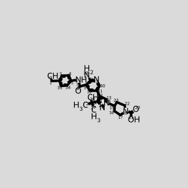 CCc1ccc(NC(=O)c2cc(-c3cn(C4CCN(C(=O)O)CC4)nc3C(C)(C)C)cnc2N)cc1